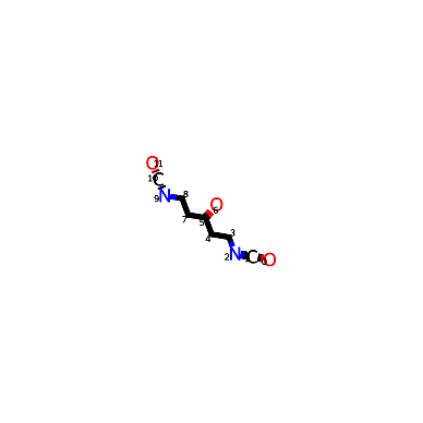 O=C=NCCC(=O)CCN=C=O